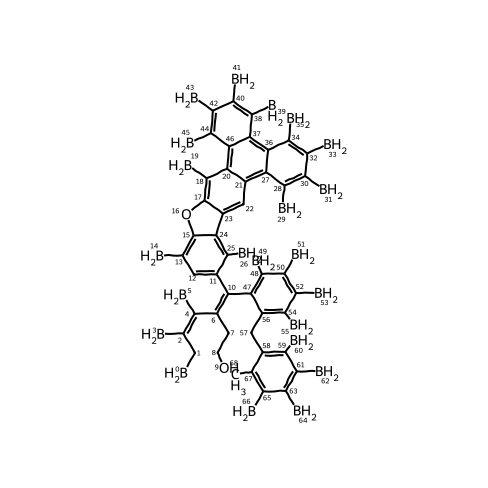 BC/C(B)=C(B)\C(CCO)=C(/c1cc(B)c2oc3c(B)c4c(cc3c2c1B)c1c(B)c(B)c(B)c(B)c1c1c(B)c(B)c(B)c(B)c41)c1c(B)c(B)c(B)c(B)c1Cc1c(B)c(B)c(B)c(B)c1C